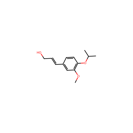 COc1cc(/C=C/CO)ccc1OC(C)C